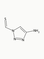 Nc1cn(C=S)nn1